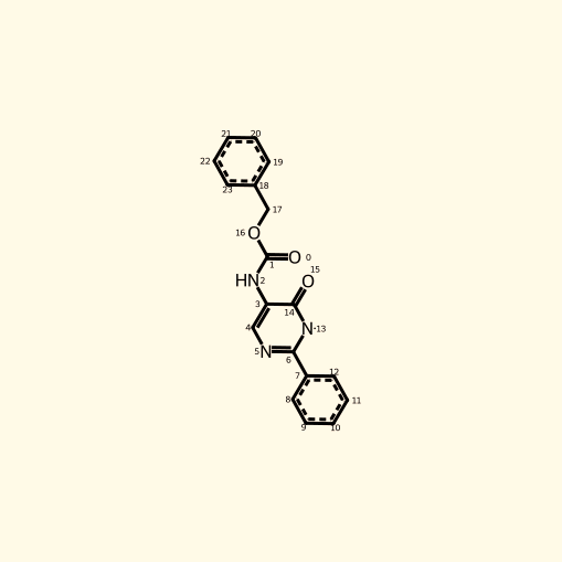 O=C(NC1=CN=C(c2ccccc2)[N]C1=O)OCc1ccccc1